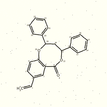 C=Cc1ccc2c(c1)C(=O)OC(c1ccccc1)CC(c1ccccc1)O2